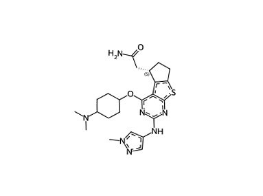 CN(C)C1CCC(Oc2nc(Nc3cnn(C)c3)nc3sc4c(c23)[C@H](CC(N)=O)CC4)CC1